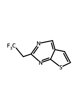 FC(F)(F)Cc1ncc2ccsc2n1